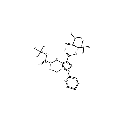 CN(C)C(=O)[C@@H](NC(=O)c1nc(-c2ccccc2)n2c1CN(C(=O)OC(C)(C)C)CC2)C(C)(C)C